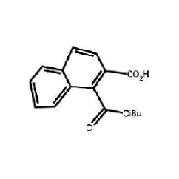 CC(C)COC(=O)c1c(C(=O)O)ccc2ccccc12